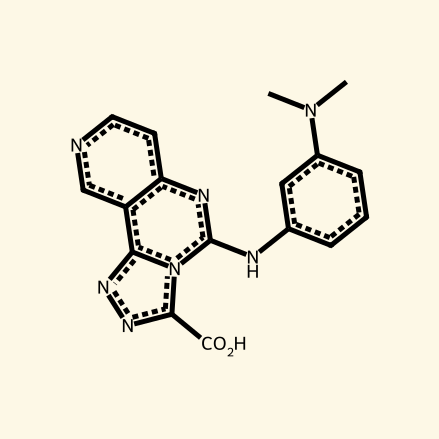 CN(C)c1cccc(Nc2nc3ccncc3c3nnc(C(=O)O)n23)c1